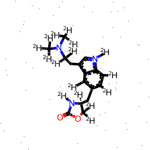 [2H]c1c(C[C@]2([2H])N([2H])C(=O)OC2([2H])[2H])c([2H])c2c(CC([2H])([2H])N(C([2H])([2H])[2H])C([2H])([2H])[2H])cn([2H])c2c1[2H]